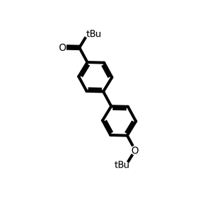 CC(C)(C)Oc1ccc(-c2ccc(C(=O)C(C)(C)C)cc2)cc1